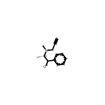 C#CCN(C)[C@@H](C)C(Cl)c1ccccc1